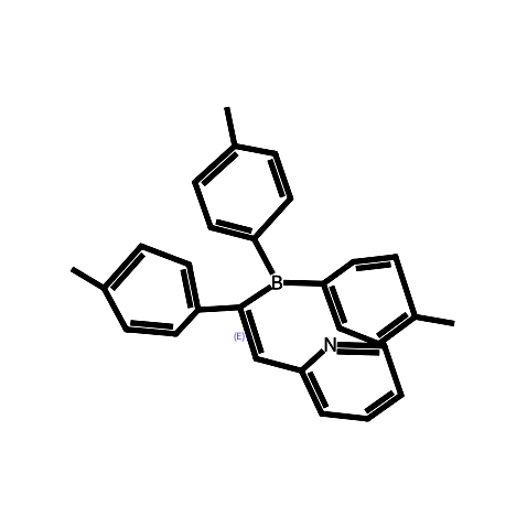 Cc1ccc(B(/C(=C\c2ccccn2)c2ccc(C)cc2)c2ccc(C)cc2)cc1